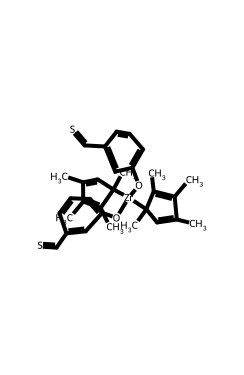 CC1=C[C](C)([Zr]([O]c2cccc(C=S)c2)([O]c2cccc(C=S)c2)[C]2(C)C=C(C)C(C)=C2C)C(C)=C1C